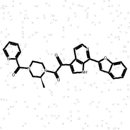 C[C@H]1CN(C(=O)c2ccccn2)CCN1C(=O)C(=O)c1c[nH]c2c(-c3cc4ccccc4o3)nccc12